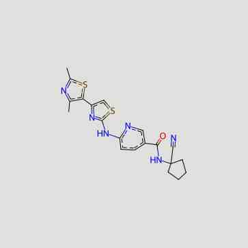 Cc1nc(C)c(-c2csc(Nc3ccc(C(=O)NC4(C#N)CCCC4)cn3)n2)s1